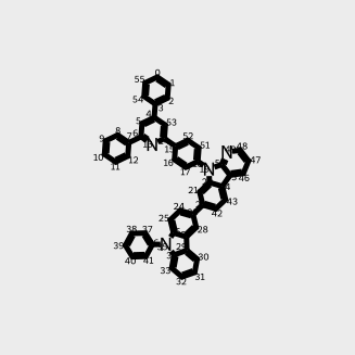 c1ccc(-c2cc(-c3ccccc3)nc(-c3ccc(-n4c5cc(-c6ccc7c(c6)c6ccccc6n7-c6ccccc6)ccc5c5cccnc54)cc3)c2)cc1